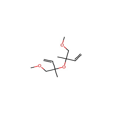 C=CC(C)(COC)OC(C)(C=C)COC